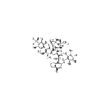 [2H]c1c([2H])c(CSc2nc(=O)c3c(n2C([2H])([2H])C(=O)N(Cc2c([2H])c([2H])c(-c4c([2H])c([2H])c(C(F)(F)F)c([2H])c4[2H])c([2H])c2C)C([2H])([2H])C([2H])([2H])N(C([2H])([2H])C)C([2H])([2H])C)CCC3)c([2H])c([2H])c1F